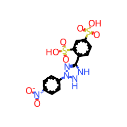 O=[N+]([O-])c1ccc(N2N=C(c3ccc(S(=O)(=O)O)cc3S(=O)(=O)O)NN2)cc1